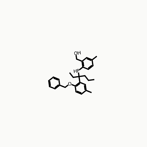 CCCC(CC)(Pc1ccc(C)cc1CO)c1cc(C)ccc1OCc1ccccc1